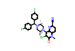 C[C@@H]1CN(c2c(Br)c(=O)n(C)c3ccc(C#N)nc23)[C@@H](C)CN1C(c1ccc(F)cc1)c1ccc(F)cc1